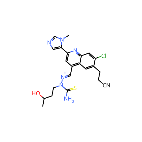 CC(O)CCN(/N=C/c1cc(-c2cncn2C)nc2cc(Cl)c(CCC#N)cc12)C(N)=S